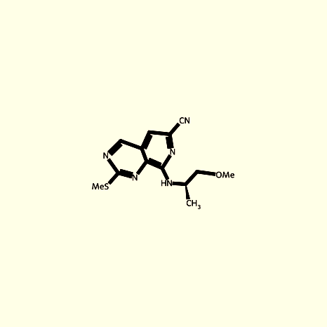 COC[C@@H](C)Nc1nc(C#N)cc2cnc(SC)nc12